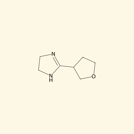 C1CNC(C2CCOC2)=N1